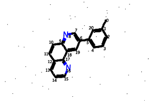 Cc1cccc(-c2cnc3ccc4cccnc4c3c2)c1